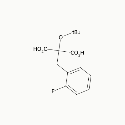 CC(C)(C)OC(Cc1ccccc1F)(C(=O)O)C(=O)O